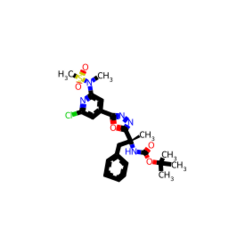 CN(c1cc(-c2nnc([C@@](C)(Cc3ccccc3)NC(=O)OC(C)(C)C)o2)cc(Cl)n1)S(C)(=O)=O